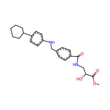 COC(=O)C(O)CNC(=O)c1ccc(CNc2ccc(C3CCCCC3)cc2)cc1